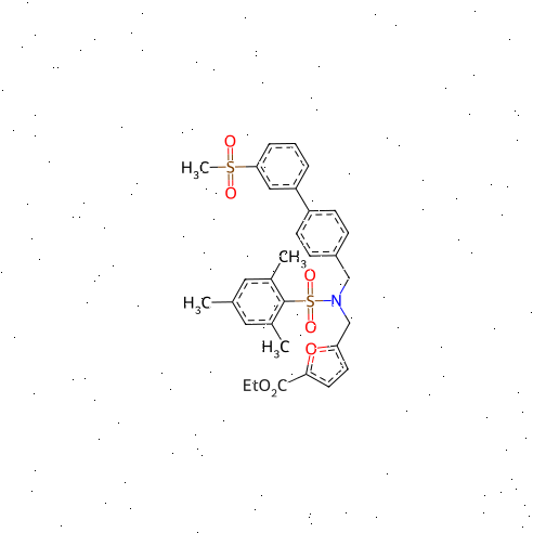 CCOC(=O)c1ccc(CN(Cc2ccc(-c3cccc(S(C)(=O)=O)c3)cc2)S(=O)(=O)c2c(C)cc(C)cc2C)o1